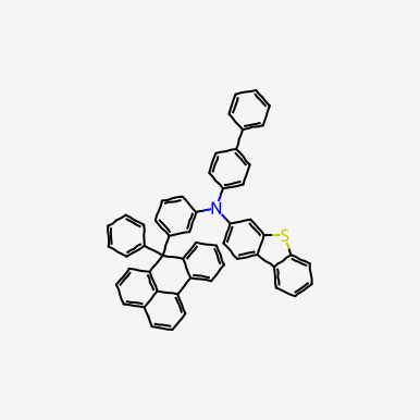 c1ccc(-c2ccc(N(c3cccc(C4(c5ccccc5)c5ccccc5-c5cccc6cccc4c56)c3)c3ccc4c(c3)sc3ccccc34)cc2)cc1